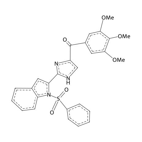 COc1cc(C(=O)c2c[nH]c(-c3cc4ccccc4n3S(=O)(=O)c3ccccc3)n2)cc(OC)c1OC